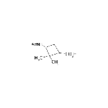 CC(=O)NC1CC(C(=O)O)C1(C)C